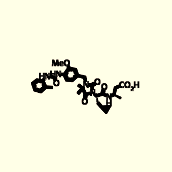 COc1cc(CN2C(=O)N([C@@H](CC3CC3)C(=O)N[C@H](C)CC(=O)O)C(=O)C2(C)C)ccc1NC(=O)Nc1ccccc1C